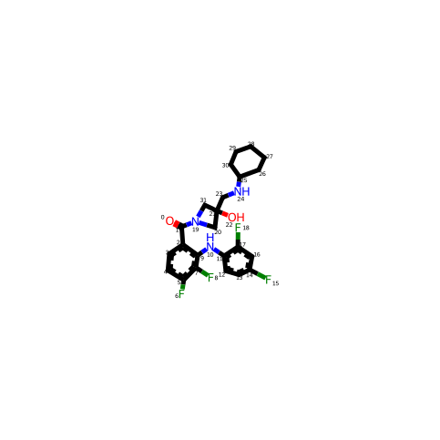 O=C(c1ccc(F)c(F)c1Nc1ccc(F)cc1F)N1CC(O)(CNC2CCCCC2)C1